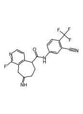 N#Cc1cc(NC(=O)C2CCC(=N)Cc3c2ccnc3F)ccc1C(F)(F)F